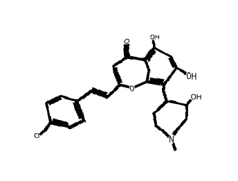 CN1CCC(c2c(O)cc(O)c3c(=O)cc(C=Cc4ccc(Cl)cc4)oc23)C(O)C1